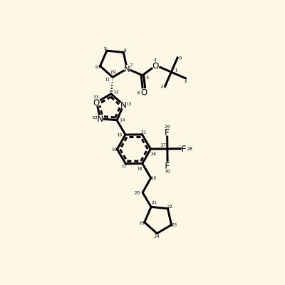 CC(C)(C)OC(=O)N1CCC[C@H]1c1nc(-c2ccc(CCC3CCCC3)c(C(F)(F)F)c2)no1